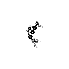 CC(C)(F)c1nc(C23CCC(CN(C(=O)C4CC(O)(C(F)(F)F)C4)c4cccc(-c5ccc(-c6nonc6N)cc5)c4)(CC2)CC3)no1